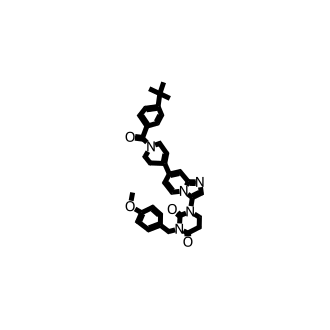 COc1ccc(CN2C(=O)CCN(c3cnc4cc(C5=CCN(C(=O)c6ccc(C(C)(C)C)cc6)CC5)ccn34)C2=O)cc1